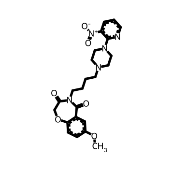 COc1ccc2c(c1)C(=O)N(CCCCN1CCN(c3ncccc3[N+](=O)[O-])CC1)C(=O)CO2